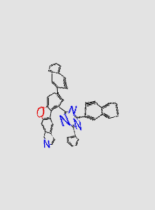 c1ccc(-c2nc(-c3ccc4ccccc4c3)nc(-c3cc(-c4ccc5ccccc5c4)cc4oc5cc6cnccc6cc5c34)n2)cc1